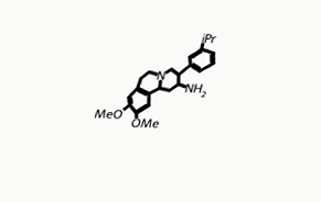 COc1cc2c(cc1OC)C1CC(N)C(c3cccc(C(C)C)c3)CN1CC2